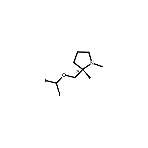 CN1CCC[C@@]1(C)COC(I)I